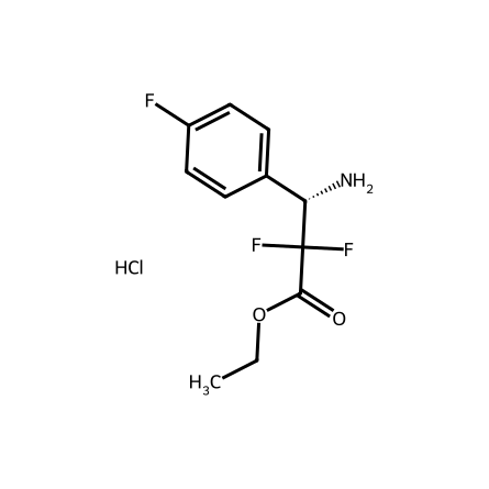 CCOC(=O)C(F)(F)[C@@H](N)c1ccc(F)cc1.Cl